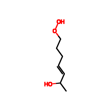 CC(O)C=CCCCOO